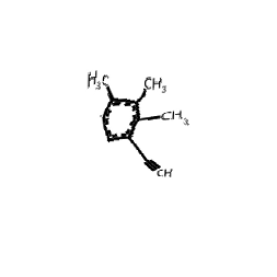 C#Cc1c[c]c(C)c(C)c1C